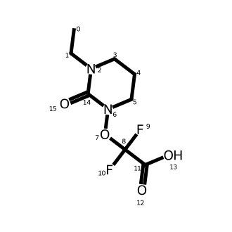 CCN1CCCN(OC(F)(F)C(=O)O)C1=O